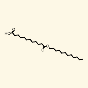 CCCCCCCCCCCCOC(=O)CCCCCCCCCCC(=O)O